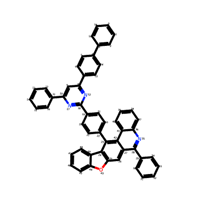 c1ccc(-c2ccc(-c3cc(-c4ccccc4)nc(-c4ccc(-c5c6c(cc7c(-c8ccccc8)nc8ccccc8c57)oc5ccccc56)cc4)n3)cc2)cc1